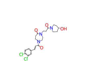 O=C(C=Cc1ccc(Cl)c(Cl)c1)N1CCC(=O)N(CCC(=O)N2CCC(O)CC2)CC1